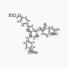 CCOC(=O)c1ccc(-c2cc3c(Oc4ccc5[nH]c(C)cc5c4F)ncn(Cc4ccc(OC)cc4)c-3n2)cc1